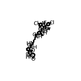 COc1cc(C(=O)NCCCCNCC(=O)Nc2cccc3c2C(=O)N([C@H]2CCCC(=O)NC2=O)C3=O)ccc1NC(=O)[C@@H]1N[C@@H](CC(C)(C)C)[C@](C#N)(c2ccc(Cl)cc2F)C1c1ccc(Cl)cc1F